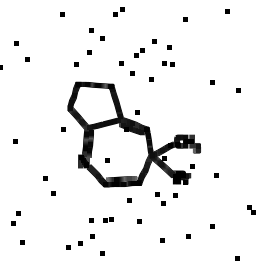 CC(C)C1(C)C=CN=C2CCCC2=C1